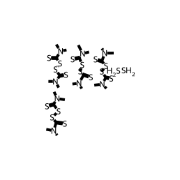 CN(C)C(=S)SSC(=S)N(C)C.CN(C)C(=S)SSC(=S)N(C)C.CN(C)C(=S)SSC(=S)N(C)C.CN(C)C(=S)SSC(=S)N(C)C.S.S